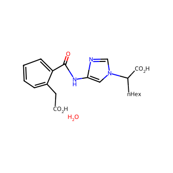 CCCCCCC(C(=O)O)n1cnc(NC(=O)c2ccccc2CC(=O)O)c1.O